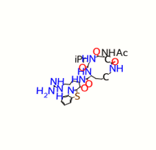 CC(=O)N[C@H]1CC(=O)NCCCC[C@@H](C(=O)NC(CCCNC(=N)N)C(=O)c2nc3ccccc3s2)NC(=O)[C@H](C(C)C)NC1=O